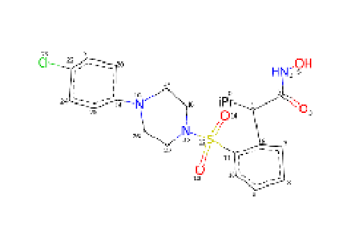 CC(C)C(C(=O)NO)c1ccccc1S(=O)(=O)N1CCN(c2ccc(Cl)cc2)CC1